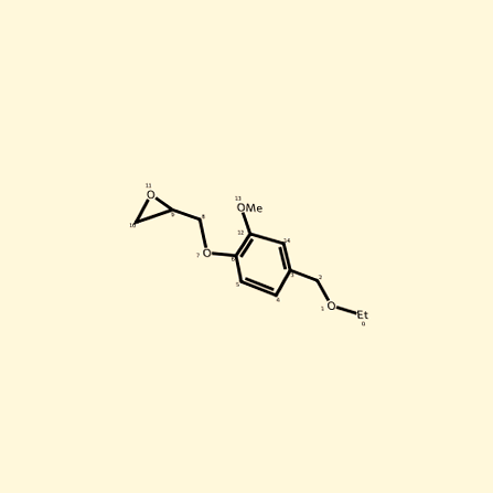 CCOCc1ccc(OCC2CO2)c(OC)c1